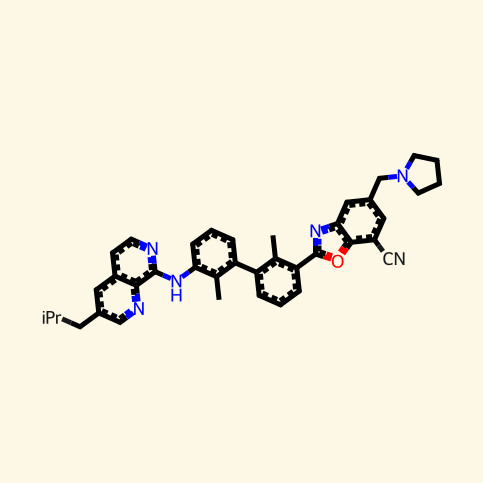 Cc1c(Nc2nccc3cc(CC(C)C)cnc23)cccc1-c1cccc(-c2nc3cc(CN4CCCC4)cc(C#N)c3o2)c1C